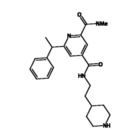 CNC(=O)c1cc(C(=O)NCCC2CCNCC2)cc(C(C)c2ccccc2)n1